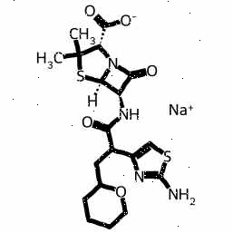 CC1(C)S[C@@H]2[C@H](NC(=O)C(CC3CCCCO3)c3csc(N)n3)C(=O)N2[C@H]1C(=O)[O-].[Na+]